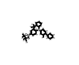 Cc1cc(N2c3ccccc3C(C)(C)c3cc(B4OC(C)(C)C(C)(C)O4)ccc32)ccc1-c1ccccc1